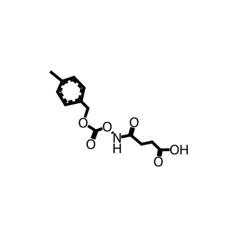 Cc1ccc(COC(=O)ONC(=O)CCC(=O)O)cc1